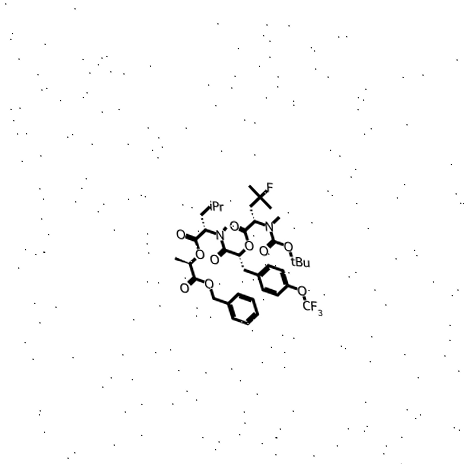 CC(C)C[C@@H](C(=O)O[C@H](C)C(=O)OCc1ccccc1)N(C)C(=O)[C@@H](Cc1ccc(OC(F)(F)F)cc1)OC(=O)[C@H](CC(C)(C)F)N(C)C(=O)OC(C)(C)C